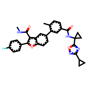 CNC(=O)c1c(-c2ccc(F)cc2)oc2ccc(-c3cc(C(=O)NC4(c5nc(C6CC6)no5)CC4)ccc3C)cc12